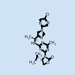 C=C(C)[C@H]1COC(=O)N1c1nc(C)nc(N[C@@H](C)c2cn(-c3cnc(Cl)cn3)cn2)n1